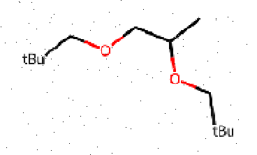 CC(COCC(C)(C)C)OCC(C)(C)C